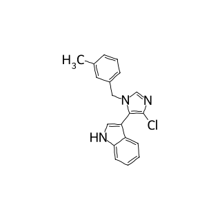 Cc1cccc(Cn2cnc(Cl)c2-c2c[nH]c3ccccc23)c1